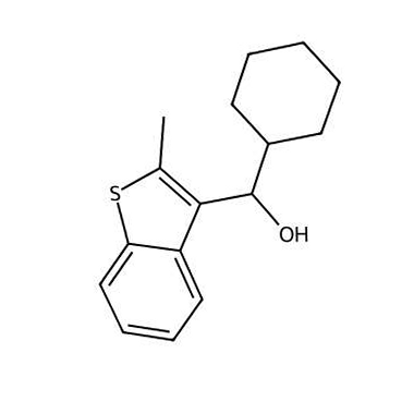 Cc1sc2ccccc2c1C(O)C1CCCCC1